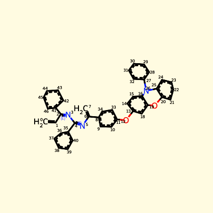 C=C/C(=N\C(=N/C(=C)c1ccc(Oc2ccc3c(c2)Oc2ccccc2N3c2ccccc2)cc1)c1ccccc1)c1ccccc1